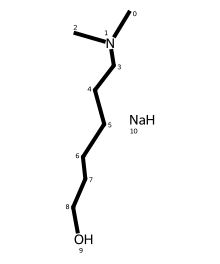 CN(C)CCCCCCO.[NaH]